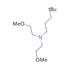 COCCN(CCCC(C)(C)C)CCOC